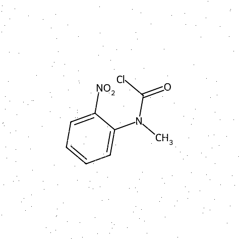 CN(C(=O)Cl)c1ccccc1[N+](=O)[O-]